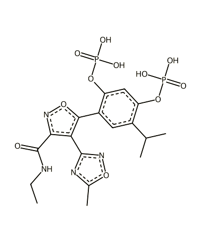 CCNC(=O)c1noc(-c2cc(C(C)C)c(OP(=O)(O)O)cc2OP(=O)(O)O)c1-c1noc(C)n1